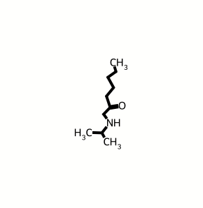 CCCCCC(=O)CNC(C)C